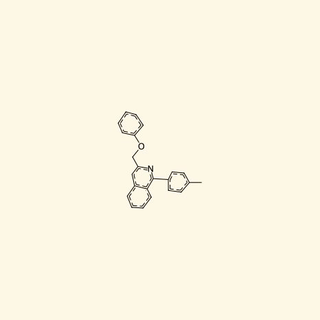 Cc1ccc(-c2nc(COc3ccccc3)cc3ccccc23)cc1